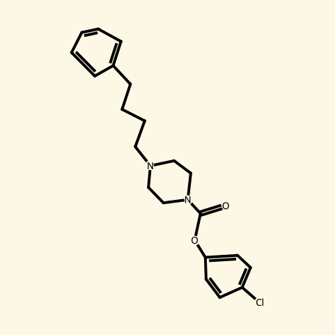 O=C(Oc1ccc(Cl)cc1)N1CCN(CCCCc2ccccc2)CC1